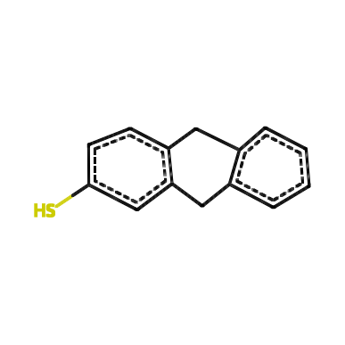 Sc1ccc2c(c1)Cc1ccccc1C2